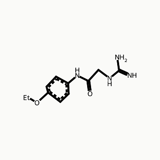 CCOc1ccc(NC(=O)CNC(=N)N)cc1